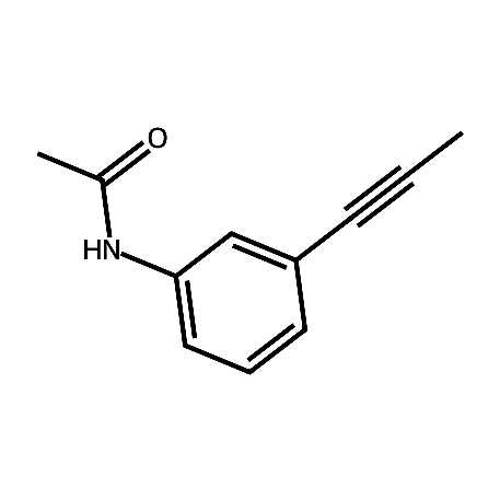 CC#Cc1cccc(NC(C)=O)c1